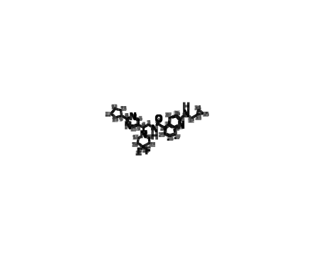 O=C(NCC(c1cnc(C2CCCC2)nc1)N1CCC(F)(F)CC1)c1cccc2nc(NCC3CC3)ccc12